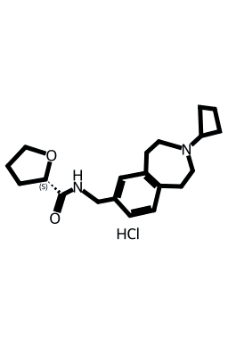 Cl.O=C(NCc1ccc2c(c1)CCN(C1CCC1)CC2)[C@@H]1CCCO1